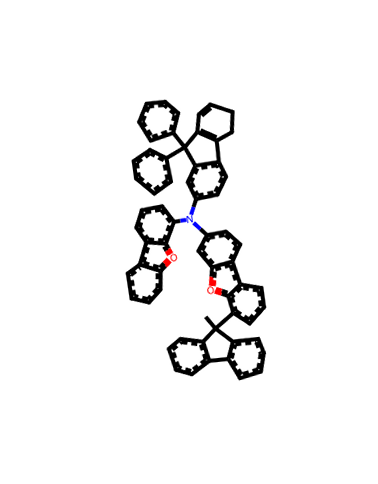 CC1(c2cccc3c2oc2cc(N(c4ccc5c(c4)C(c4ccccc4)(c4ccccc4)C4=C5CCC=C4)c4cccc5c4oc4ccccc45)ccc23)c2ccccc2-c2ccccc21